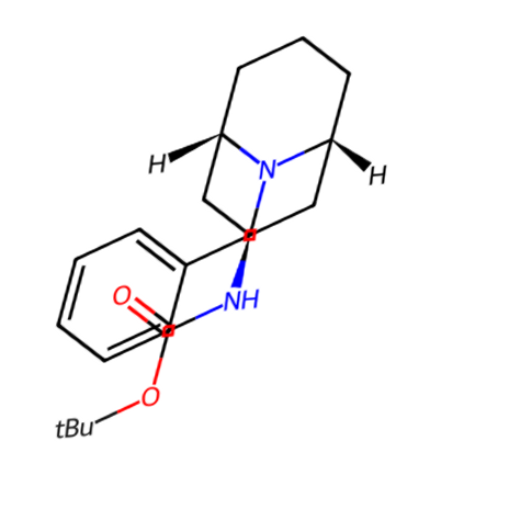 CC(C)(C)OC(=O)N[C@@H]1C[C@H]2CCC[C@@H](C1)N2Cc1ccccc1